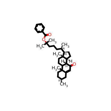 C[C@H]1CCC2(C)C(=CC(=O)[C@@H]3C2CC[C@]2(C)[C@@H]([C@H](C)CCCC(C)(C)OC(=O)c4ccccc4)CC[C@@H]32)C1